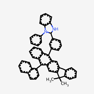 CC1(C)c2ccccc2-c2cc3c(-c4cccc(C5Nc6ccccc6N5c5ccccc5)c4)c4ccccc4c(-c4cccc5ccccc45)c3cc21